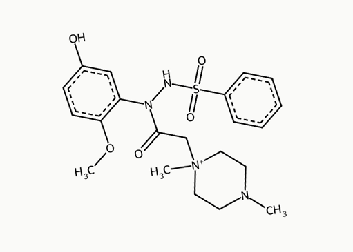 COc1ccc(O)cc1N(NS(=O)(=O)c1ccccc1)C(=O)C[N+]1(C)CCN(C)CC1